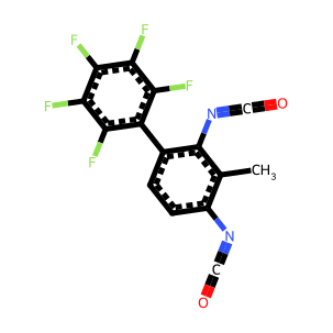 Cc1c(N=C=O)ccc(-c2c(F)c(F)c(F)c(F)c2F)c1N=C=O